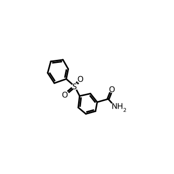 NC(=O)c1cccc(S(=O)(=O)c2ccccc2)c1